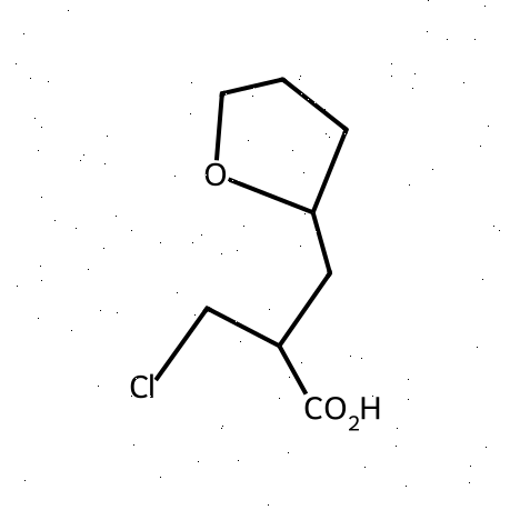 O=C(O)C(CCl)CC1CCCO1